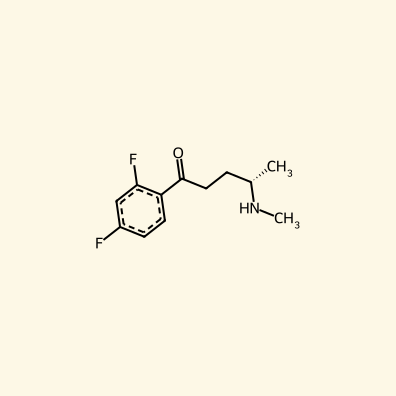 CN[C@@H](C)CCC(=O)c1ccc(F)cc1F